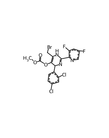 COC(=O)OC1=C(CBr)NC(c2ncc(F)cc2F)=NC1c1ccc(Cl)cc1Cl